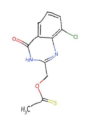 CC(=S)OCc1nc2c(Cl)cccc2c(=O)[nH]1